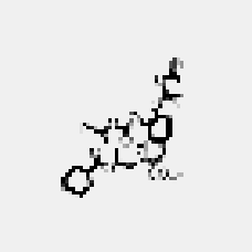 CC(CN[C@@H](Cc1ccc(OC(=O)OC(C)C(C)C)c(OC(=O)OC(C)C(C)C)c1)C(=O)O)OC(=O)C1CCCCC1